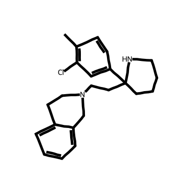 Cc1ccc(C2(CCN3CCc4ccccc4C3)CCCCN2)cc1Cl